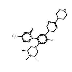 C[C@@H]1CN(c2cc(F)c(C3CN=C(N4CCOCC4)NC3)cc2-n2ccc(C(F)(F)F)cc2=O)C[C@H](C)N1C